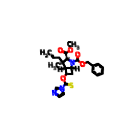 C=CC[C@]1(C)[C@H]2C(OC(=S)n3ccnc3)C[C@H]2N(C(=O)OCc2ccccc2)[C@@H]1C(=O)OC